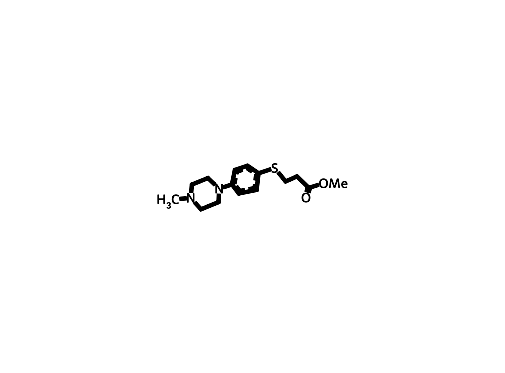 COC(=O)CCSc1ccc(N2CCN(C)CC2)cc1